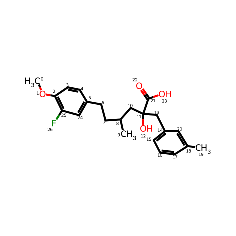 COc1ccc(CCC(C)CC(O)(Cc2cccc(C)c2)C(=O)O)cc1F